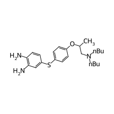 CCCCN(CCCC)CC(C)Oc1ccc(Sc2ccc(N)c(N)c2)cc1